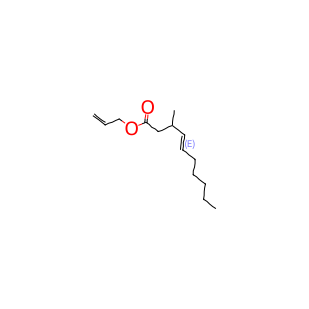 C=CCOC(=O)CC(C)/C=C/CCCCC